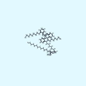 CCCCCCCCCCCCCOP(O)O.CCCCCCCCCc1ccccc1OP(Oc1ccccc1CCCCCCCCC)Oc1ccccc1CCCCCCCCC